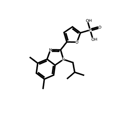 Cc1cc(C)c2nc(-c3ccc(P(=O)(O)O)o3)n(CC(C)C)c2c1